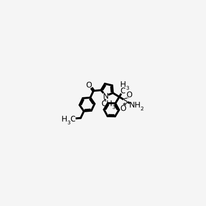 CCc1ccc(C(=O)c2ccc(C(C)(c3ccccc3)S(N)(=O)=O)n2C)cc1